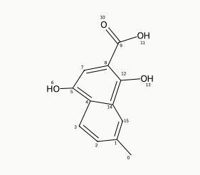 Cc1ccc2c(O)cc(C(=O)O)c(O)c2c1